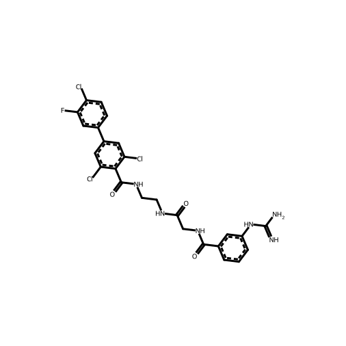 N=C(N)Nc1cccc(C(=O)NCC(=O)NCCNC(=O)c2c(Cl)cc(-c3ccc(Cl)c(F)c3)cc2Cl)c1